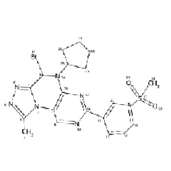 CCC1c2nnc(C)n2-c2cnc(-c3cccc(S(C)(=O)=O)c3)nc2N1C1CCCC1